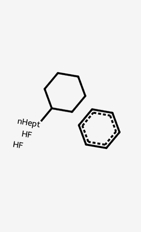 CCCCCCCC1CCCCC1.F.F.c1ccccc1